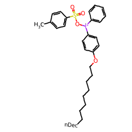 CCCCCCCCCCCCCCCCCCOc1ccc([I+](OS(=O)(=O)c2ccc(C)cc2)c2ccccc2)cc1